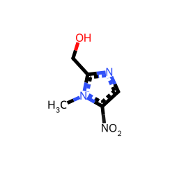 Cn1c([N+](=O)[O-])cnc1CO